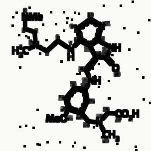 CNCCN(C)CCNc1ncnc2c1/C(=C/Nc1ccc(OC)c(CN(C)CC(=O)O)c1)C(=O)N2